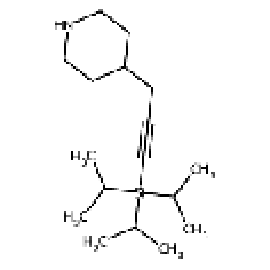 CC(C)[Si](C#CCC1CCNCC1)(C(C)C)C(C)C